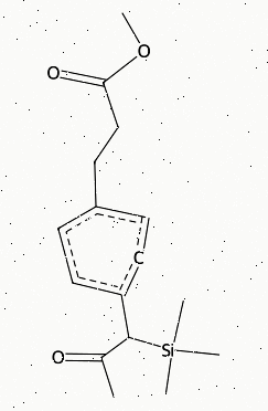 COC(=O)CCc1ccc(C(C(C)=O)[Si](C)(C)C)cc1